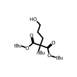 CCCCC(CCCO)(C(=O)OC(C)(C)C)C(=O)OC(C)(C)C